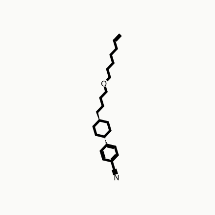 C=CCCCCCOCCCC[C@H]1CC[C@H](c2ccc(C#N)cc2)CC1